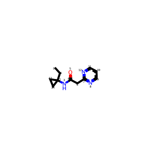 CCC1(NC(=O)Cc2ncccn2)CC1